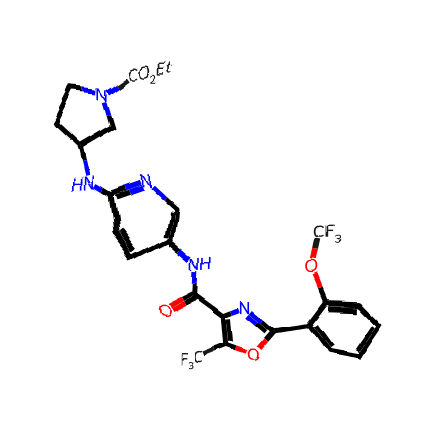 CCOC(=O)N1CCC(Nc2ccc(NC(=O)c3nc(-c4ccccc4OC(F)(F)F)oc3C(F)(F)F)cn2)C1